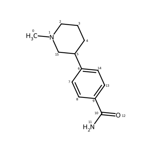 CN1CCCC(c2ccc(C(N)=O)cc2)C1